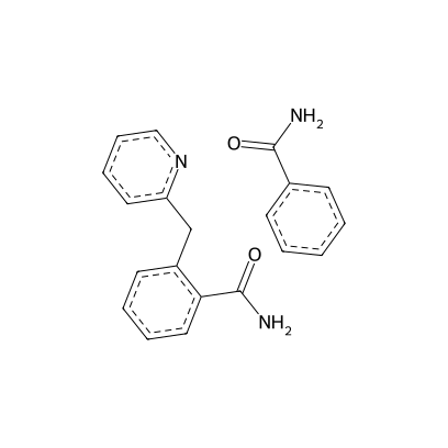 NC(=O)c1ccccc1.NC(=O)c1ccccc1Cc1ccccn1